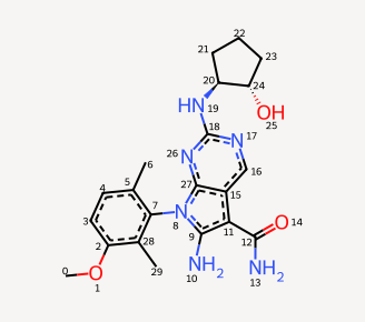 COc1ccc(C)c(-n2c(N)c(C(N)=O)c3cnc(N[C@H]4CCC[C@@H]4O)nc32)c1C